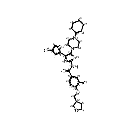 O=C(Nc1nc(-c2cc(Cl)cs2)c(N2CCN(C3CCCCC3)CC2)s1)c1cnc(OCC2CCOC2)c(Cl)c1